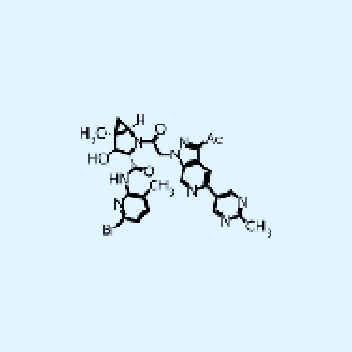 CC(=O)c1nn(CC(=O)N2[C@H](C(=O)Nc3nc(Br)ccc3C)[C@@H](O)[C@@]3(C)C[C@@H]23)c2cnc(-c3cnc(C)nc3)cc12